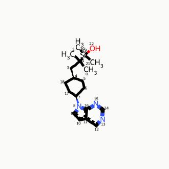 CC(C)(C[C@H]1CC[C@@H](n2ccc3cncnc32)CC1)[Si](C)(C)O